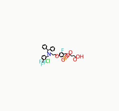 CS(=O)(=O)c1cc(OCCCN(Cc2cccc(C(F)(F)F)c2Cl)CC(c2ccccc2)c2ccccc2)cc(F)c1COC(=O)CCC(=O)O